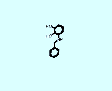 Oc1cccc(NCc2ccccc2)c1O